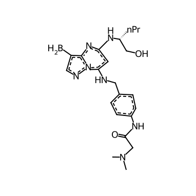 Bc1cnn2c(NCc3ccc(NC(=O)CN(C)C)cc3)cc(N[C@@H](CO)CCC)nc12